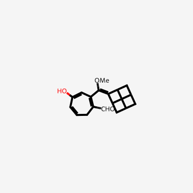 COC(C1=C(C=O)CC=CC(O)=C1)=C1C2CC3CC4CC1C342